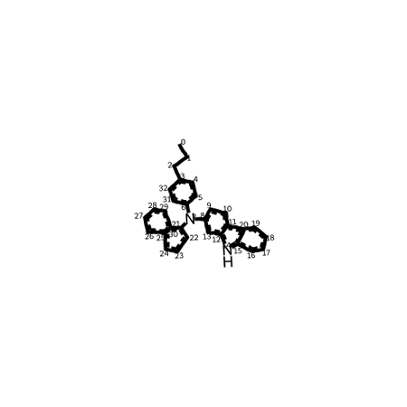 CCCc1ccc(N(c2ccc3c(c2)[nH]c2ccccc23)c2cccc3ccccc23)cc1